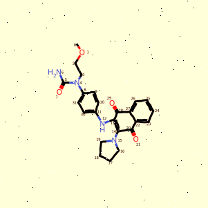 COCCN(C(N)=O)c1ccc(NC2=C(N3CCCC3)C(=O)c3ccccc3C2=O)cc1